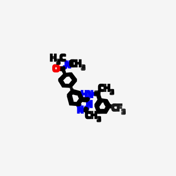 Cc1nc(N[C@H](C)c2cccc(C(F)(F)F)c2)c2cc([C@H]3CC[C@H](C(=O)N(C)C)CC3)ccc2n1